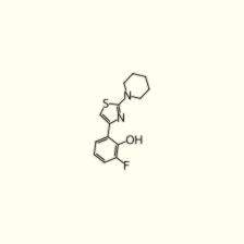 Oc1c(F)cccc1-c1csc(N2CCCCC2)n1